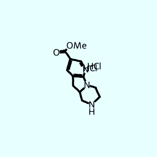 COC(=O)c1cnc2c(c1)CC1CNCCN21.Cl.Cl